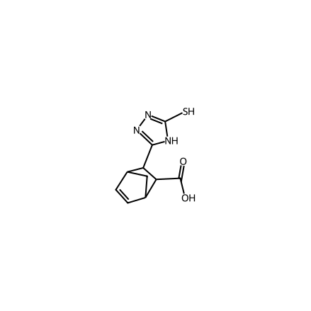 O=C(O)C1C2C=CC(C2)C1c1nnc(S)[nH]1